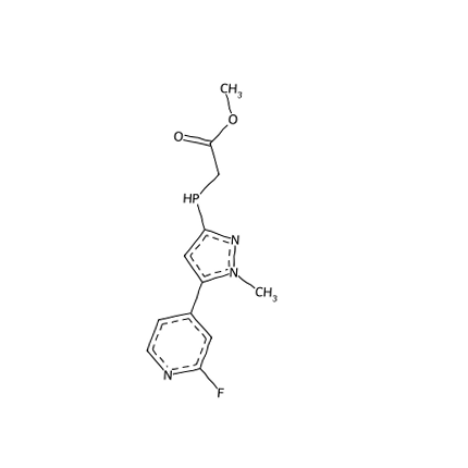 COC(=O)CPc1cc(-c2ccnc(F)c2)n(C)n1